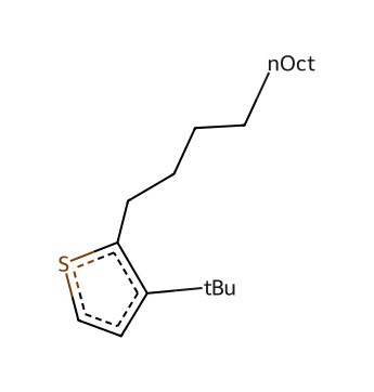 CCCCCCCCCCCCc1sccc1C(C)(C)C